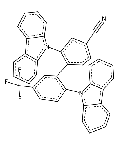 N#Cc1ccc(-c2cc(C(F)(F)F)ccc2-n2c3ccccc3c3ccccc32)c(-n2c3ccccc3c3ccccc32)c1